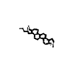 CCCc1cc2c3ccc4c(ccc5c4ccc4c5ccn4C)c3ccc2n1C